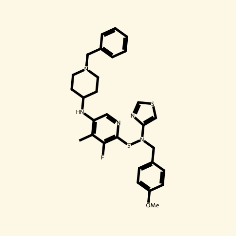 COc1ccc(CN(Sc2ncc(NC3CCN(Cc4ccccc4)CC3)c(C)c2F)c2cscn2)cc1